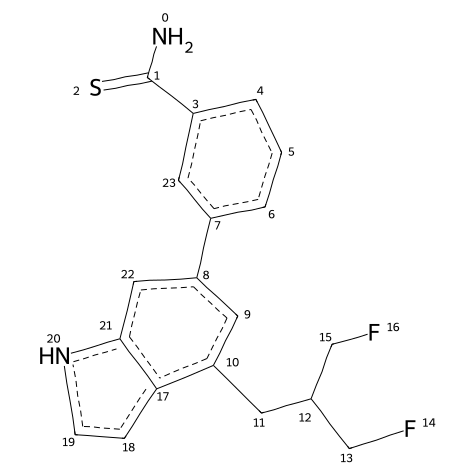 NC(=S)c1cccc(-c2cc(CC(CF)CF)c3cc[nH]c3c2)c1